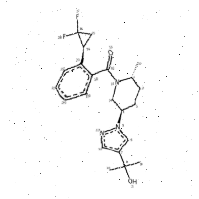 C[C@@H]1CC[C@@H](n2cc(C(C)(C)O)cn2)CN1C(=O)c1ccccc1[C@@H]1CC1(F)F